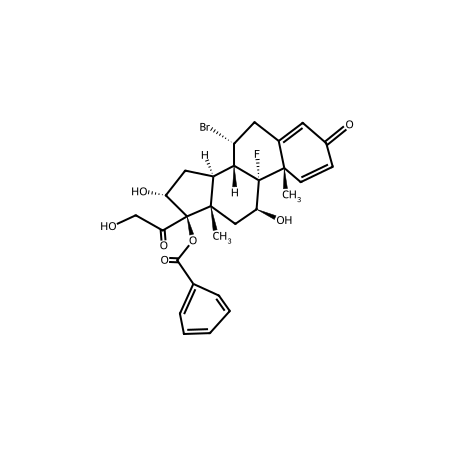 C[C@]12C=CC(=O)C=C1C[C@@H](Br)[C@H]1[C@@H]3C[C@@H](O)[C@@](OC(=O)c4ccccc4)(C(=O)CO)[C@@]3(C)C[C@H](O)[C@@]12F